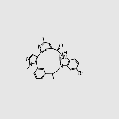 Cc1cc2cc(n1)-c1cnn(C)c1-c1cccc(c1)C(C)CN1/C(=N/C2=O)Nc2ccc(Br)cc21